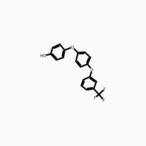 Oc1ccc(Oc2ccc(Oc3cccc(C(F)(F)F)c3)cc2)cc1